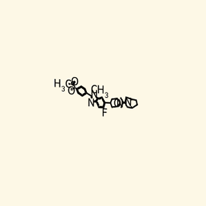 Cn1c(-c2ccc(S(C)(=O)=O)cc2)nc2cc(F)c(C3CCN(C4CC5CCC(C4)N5C4COC4)CC3)cc21